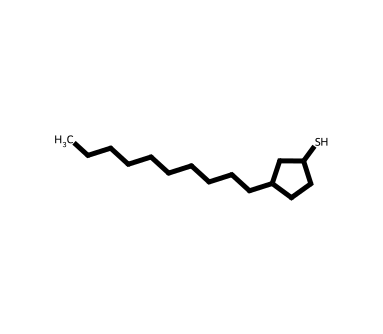 CCCCCCCCCCC1CCC(S)C1